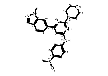 Cn1ncc2ccc(-c3cc(Nc4ccc([S+](C)[O-])cc4)nc(N4CCOCC4)n3)cc21